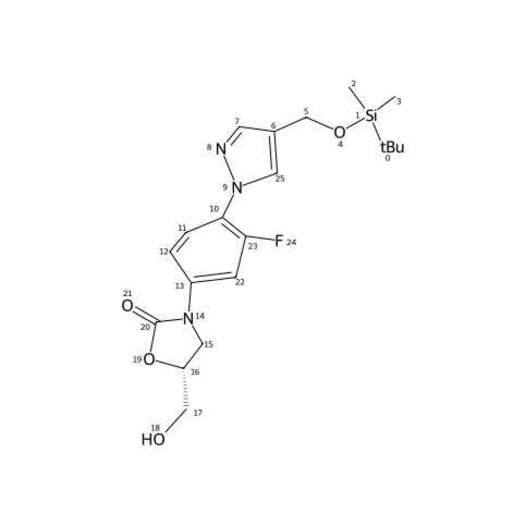 CC(C)(C)[Si](C)(C)OCc1cnn(-c2ccc(N3C[C@H](CO)OC3=O)cc2F)c1